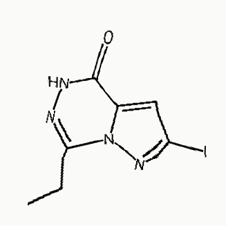 CCc1n[nH]c(=O)c2cc(I)nn12